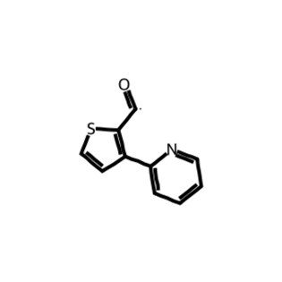 O=[C]c1sccc1-c1ccccn1